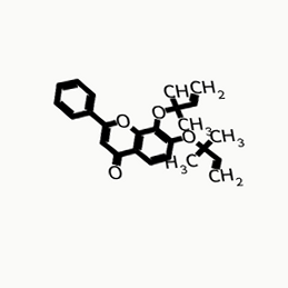 C=CC(C)(C)Oc1ccc2c(=O)cc(-c3ccccc3)oc2c1OC(C)(C)C=C